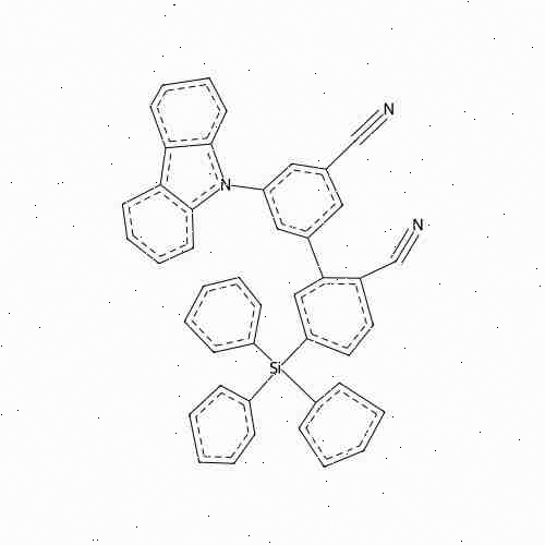 N#Cc1cc(-c2cc([Si](c3ccccc3)(c3ccccc3)c3ccccc3)ccc2C#N)cc(-n2c3ccccc3c3ccccc32)c1